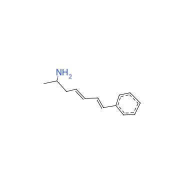 CC(N)CC=CC=Cc1ccccc1